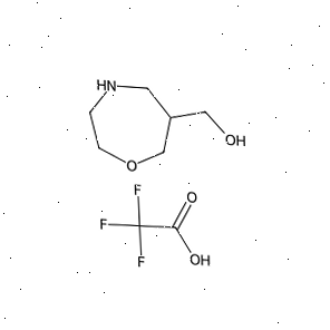 O=C(O)C(F)(F)F.OCC1CNCCOC1